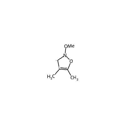 CON1[CH]C(C)=C(C)O1